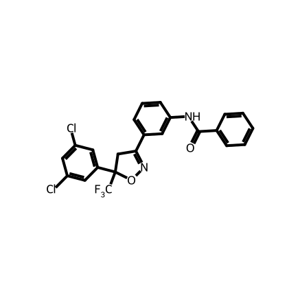 O=C(Nc1cccc(C2=NOC(c3cc(Cl)cc(Cl)c3)(C(F)(F)F)C2)c1)c1ccccc1